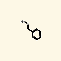 CCCCN=Cc1ccccn1